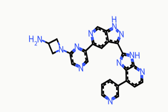 NC1CN(c2cncc(-c3cc4c(-c5nc6c(-c7cccnc7)ccnc6[nH]5)n[nH]c4cn3)n2)C1